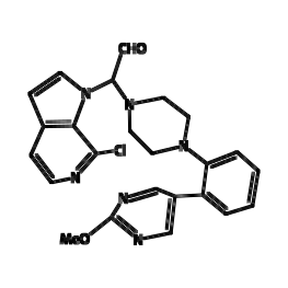 COc1ncc(-c2ccccc2N2CCN(C(C=O)n3ccc4ccnc(Cl)c43)CC2)cn1